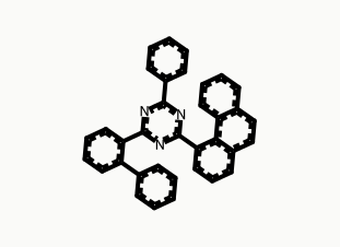 c1ccc(-c2nc(-c3ccccc3-c3ccccc3)nc(-c3cccc4ccc5ccccc5c34)n2)cc1